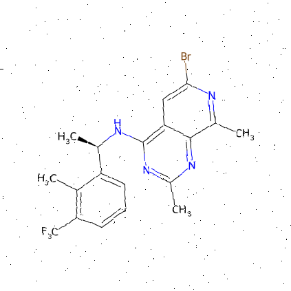 Cc1nc(N[C@H](C)c2cccc(C(F)(F)F)c2C)c2cc(Br)nc(C)c2n1